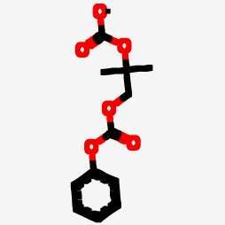 CC(C)(COC(=O)Oc1ccccc1)OC([O])=O